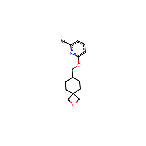 [2H]c1cccc(OCC2CCC3(CC2)COC3)n1